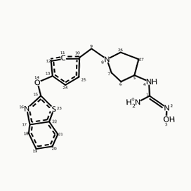 N/C(=N\O)NC1CCN(Cc2ccc(Oc3nc4ccccc4s3)cc2)CC1